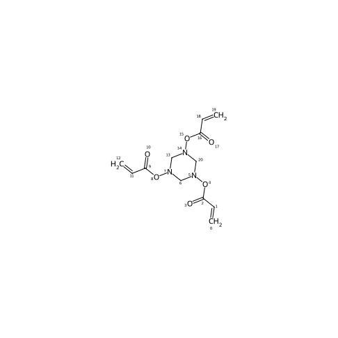 C=CC(=O)ON1CN(OC(=O)C=C)CN(OC(=O)C=C)C1